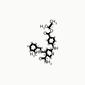 C/C=C(\C)OC(=O)c1ccc(Nc2cc(NCc3ccccc3C)c(C(N)=O)cn2)cc1